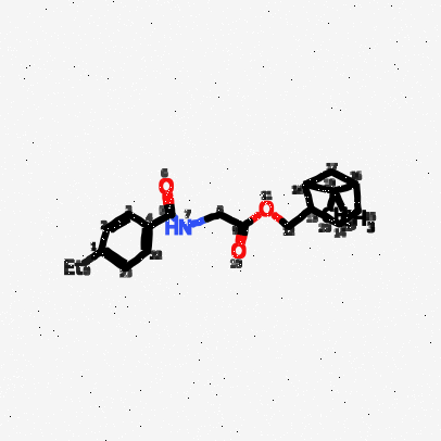 CCc1ccc(C(=O)NCC(=O)OCC2CCC3CC2C3(C)C)cc1